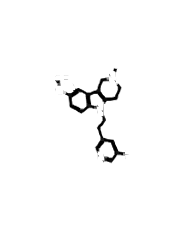 CN1CCc2c(c3cc(OC(F)(F)F)ccc3n2CCc2cncc(F)c2)C1